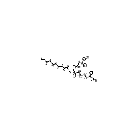 CCCCCCCCCCCC(SCCC(=O)OC)C(O)CCCCC(=O)OC